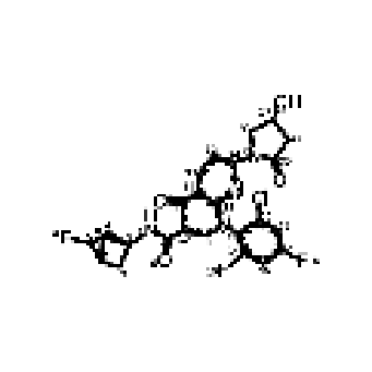 O=C(NC12CC(F)C(C1)C2)c1cn(-c2c(F)cc(F)cc2Cl)c2nc(N3C[C@@H](O)CC3=O)ccc2c1=O